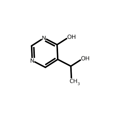 CC(O)c1cncnc1O